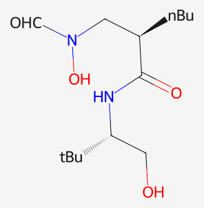 CCCC[C@H](CN(O)C=O)C(=O)N[C@H](CO)C(C)(C)C